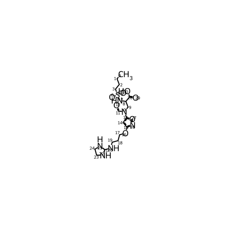 CCCCS(=O)(=O)NC(CN(C=O)c1cc(OCCCNC2NCCN2)no1)C(=O)O